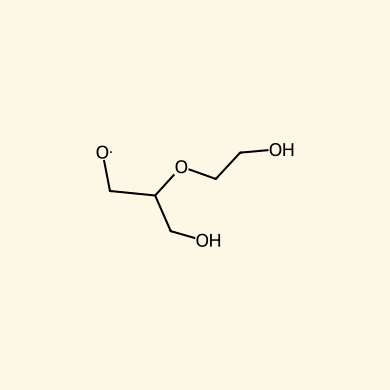 [O]CC(CO)OCCO